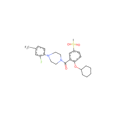 CS(=O)(=O)c1ccc(OC2CCCCC2)c(C(=O)N2CCN(c3ccc(C(F)(F)F)cc3F)CC2)c1